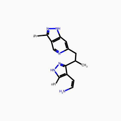 CCCc1[nH]nc(C(C)Cc2cc3[nH]nc(C(C)C)c3cn2)c1/C=C\N